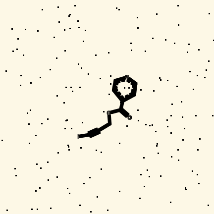 O=C(OCC#CI)c1ccncc1